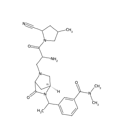 CC1CC(C#N)N(C(=O)C(N)CN2C[C@@H]3CC2C(=O)N3C(C)c2cccc(C(=O)N(C)C)c2)C1